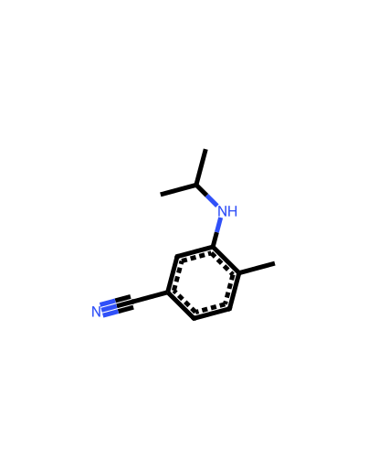 Cc1ccc(C#N)cc1NC(C)C